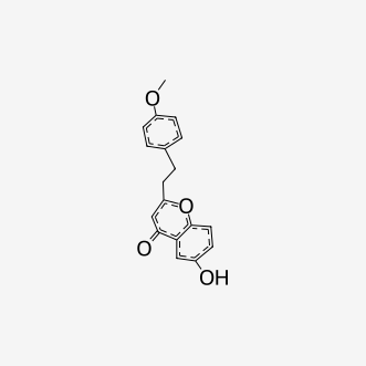 COc1ccc(CCc2cc(=O)c3cc(O)ccc3o2)cc1